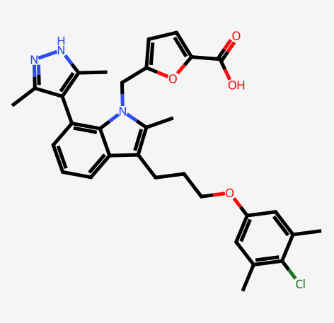 Cc1cc(OCCCc2c(C)n(Cc3ccc(C(=O)O)o3)c3c(-c4c(C)n[nH]c4C)cccc23)cc(C)c1Cl